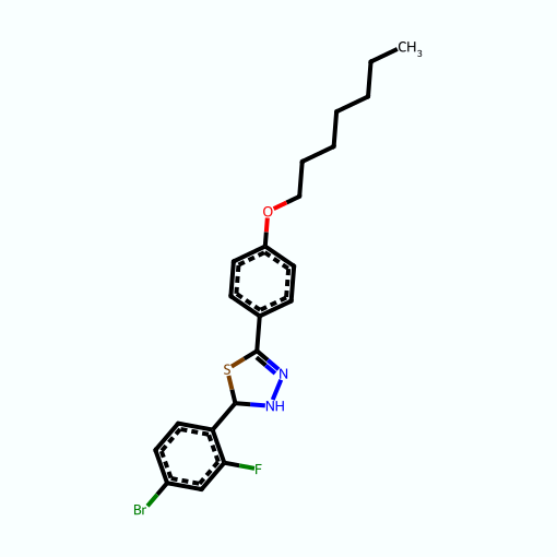 CCCCCCCOc1ccc(C2=NNC(c3ccc(Br)cc3F)S2)cc1